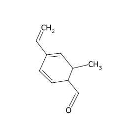 C=CC1=CC(C)C(C=O)C=C1